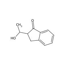 CC(O)C1Cc2ccccc2C1=O